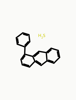 S.c1ccc(-c2cccc3cc4ccccc4cc23)cc1